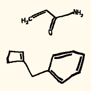 C1=C(Cc2ccccc2)CC1.C=CC(N)=O